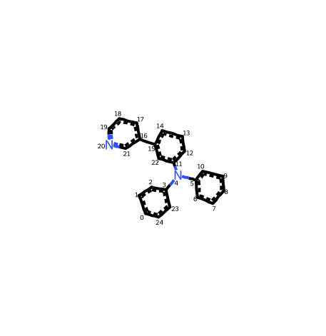 c1ccc(N(c2ccccc2)c2cccc(-c3cccnc3)c2)cc1